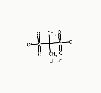 CC(C)(S(=O)(=O)[O-])S(=O)(=O)[O-].[Li+].[Li+]